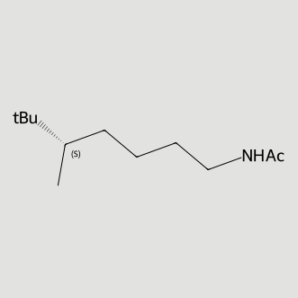 CC(=O)NCCCC[C@H](C)C(C)(C)C